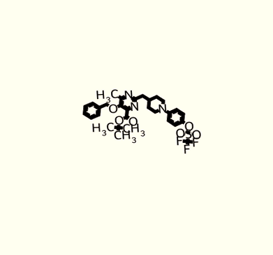 Cc1nc(CC2CCN(c3ccc(OS(=O)(=O)C(F)(F)F)cc3)CC2)nc(C(=O)OC(C)(C)C)c1OCc1ccccc1